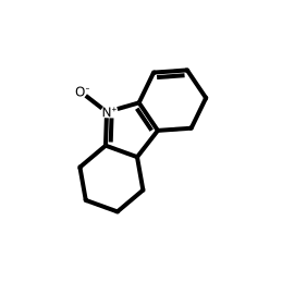 [O-][N+]1=C2CCCCC2C2=C1C=CCC2